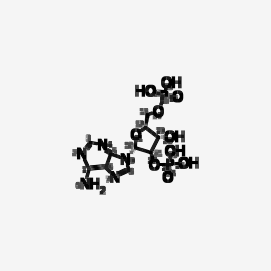 Nc1ncnc2c1ncn2[C@@H]1O[C@@H](COP(=O)(O)O)[C@H](O)[C@H]1OP(=O)(O)O